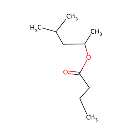 CCCC(=O)OC(C)CC(C)C